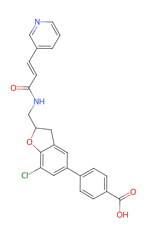 O=C(C=Cc1cccnc1)NCC1Cc2cc(-c3ccc(C(=O)O)cc3)cc(Cl)c2O1